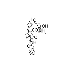 C[C@@H](NC(=O)Cn1cnnn1)[C@H]1C(=O)N2C(C(=O)O)=C(S[C@@H]3CN[C@H](C(=O)N4CC(O)[C@H](N)C4)C3)[C@H](C)[C@H]12